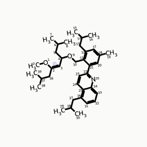 CO/C(=C\C(CC(C)C)OCc1c(CC(C)C)cc(C)cc1-c1ccc2c(CC(C)C)cccc2n1)CC(C)C